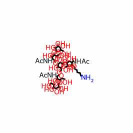 CC(=O)NC1C(OCC2OC(OC3C(CO)OC(OCCCCCN)C(NC(C)=O)C3O)C(O)C(OC3OC(CO)C(OC4OC(CO)C(O)C(O)C4O)C(O)C3NC(C)=O)C2O)OC(CO)C(OC2OC(CO)C(O)C(O)C2O)C1O